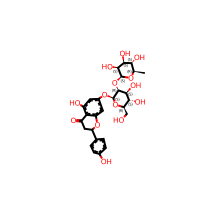 C[C@H]1O[C@@H](O[C@H]2[C@H](Oc3cc(O)c4c(c3)OC(c3ccc(O)cc3)CC4=O)O[C@H](CO)[C@@H](O)[C@@H]2O)[C@@H](O)[C@@H](O)[C@@H]1O